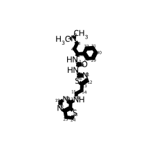 CN(C)CCC(NC(=O)Nc1ncc(CCNc2ncnc3c2SCC3)s1)c1ccccc1